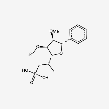 CO[C@@H]1[C@H](OC(C)C)[C@@H](C(C)CP(=O)(O)O)O[C@H]1c1ccccc1